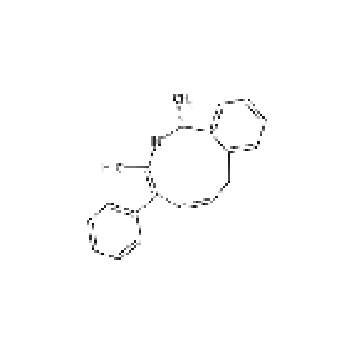 C/C1=C(c2ccccc2)/C=C\Cc2ccccc2[C@@H](C)N1